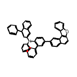 c1ccc(-c2cc(-c3ccc4ccc5oc6ccccc6c5c4c3)ccc2N(c2ccccc2)c2cc(-c3ccccc3)c3ccccc3c2)cc1